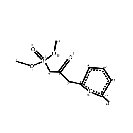 COP(=O)(CC(=O)Cc1cccc(C)c1)OC